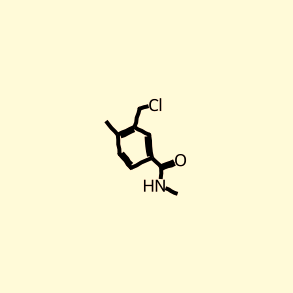 CNC(=O)c1ccc(C)c(CCl)c1